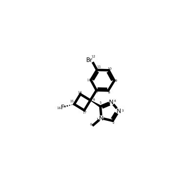 Cn1cnnc1[C@]1(c2cccc(Br)c2)C[C@@H](F)C1